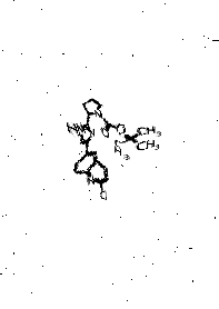 CC(C)(C)OC(=O)N1CCCC1c1nc(-c2ccc3nc(Cl)ccc3c2)c[nH]1